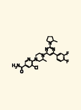 CC1CN(c2ncc(C(N)=O)cc2Cl)CCN1c1cc(-c2ccc(F)c(F)c2)nc(N2CCCC2C)n1